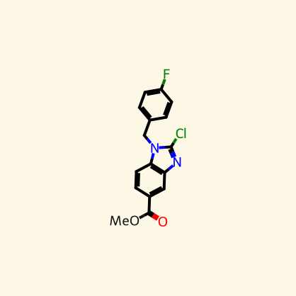 COC(=O)c1ccc2c(c1)nc(Cl)n2Cc1ccc(F)cc1